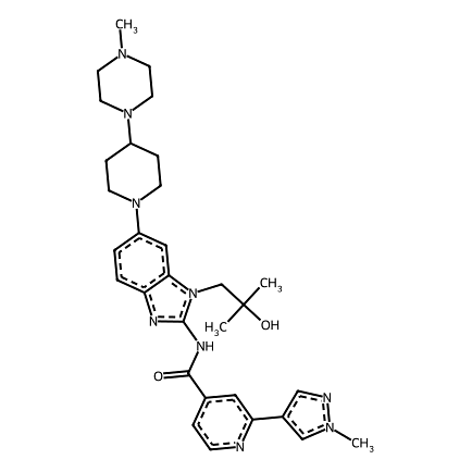 CN1CCN(C2CCN(c3ccc4nc(NC(=O)c5ccnc(-c6cnn(C)c6)c5)n(CC(C)(C)O)c4c3)CC2)CC1